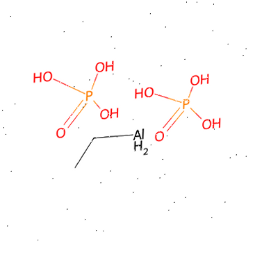 C[CH2][AlH2].O=P(O)(O)O.O=P(O)(O)O